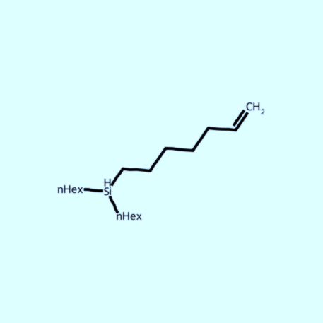 C=CCCCCC[SiH](CCCCCC)CCCCCC